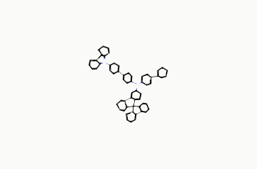 c1ccc(-c2ccc(N(c3ccc(-c4ccc(-n5c6ccccc6c6ccccc65)cc4)cc3)c3ccc4c(c3)-c3ccccc3C43c4ccccc4-c4ccccc43)cc2)cc1